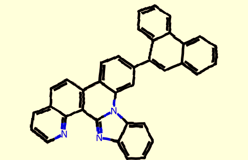 c1ccc2c(c1)cc(-c1ccc3c4ccc5cccnc5c4c4nc5ccccc5n4c3c1)c1ccccc12